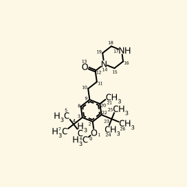 COc1c(C(C)(C)C)cc(CCC(=O)N2CCNCC2)c(C)c1C(C)(C)C